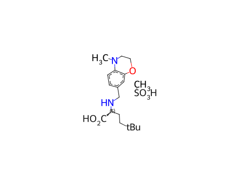 CN1CCOc2cc(CN[C@@H](CCC(C)(C)C)C(=O)O)ccc21.CS(=O)(=O)O